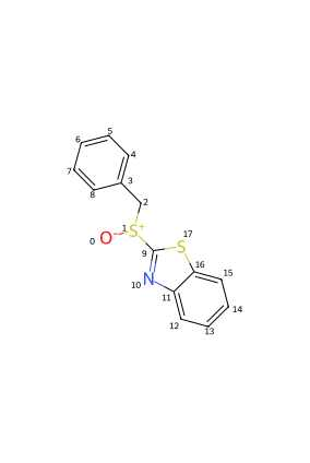 [O-][S+](Cc1ccccc1)c1nc2ccccc2s1